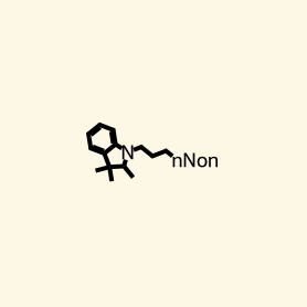 CCCCCCCCCCCCN1c2ccccc2C(C)(C)C1C